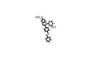 Cl.O=C(O)c1cc2nc(-c3ccc(OCc4ccccc4)cc3)n(C3CCCCC3)c2s1